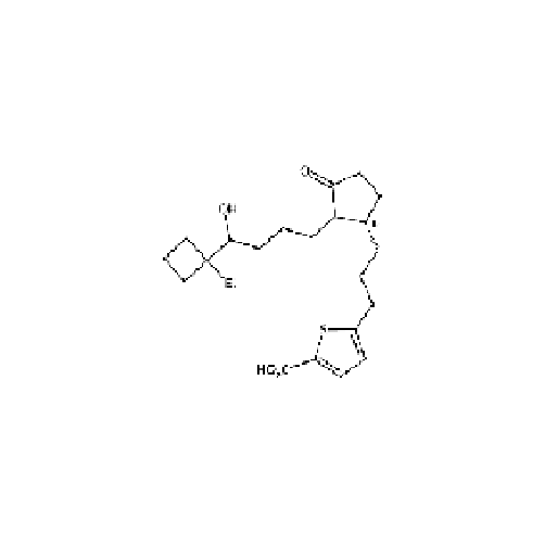 CCC1(C(O)CCCC2C(=O)CC[C@@H]2CCCc2ccc(C(=O)O)s2)CCC1